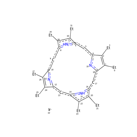 CCC1=C(CC)c2cc3[nH]c(cc4nc(cc5[nH]c(cc1n2)c(CC)c5CC)C(CC)=C4CC)c(CC)c3CC.[Ir]